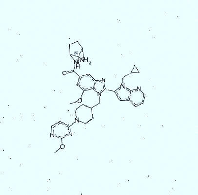 COc1nccc(N2CCC(Cn3c(-c4cc5cccnc5n4CC4CC4)nc4cc(C(=O)N5CC6CCC5[C@H]6N)cc(OC)c43)CC2)n1